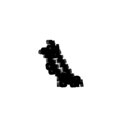 CCCCCCCCCCCCCCCCCC(=O)O.COc1cc(C=CC(=O)CC(=O)C=Cc2ccc(O)c(OC)c2)ccc1O